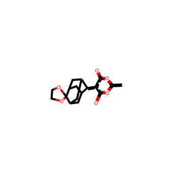 C=c1oc(=O)c(=C2C3CC4CC2CC(C3)C42OCCO2)c(=O)o1